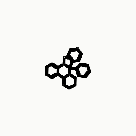 CN1c2ccccc2C2=NCCCN2C1(c1ccccc1)c1ccncc1